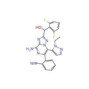 CCn1nccc1-c1c(-c2ccccc2C#N)nc(N)c2nc(C(O)c3c(F)cccc3F)nn12